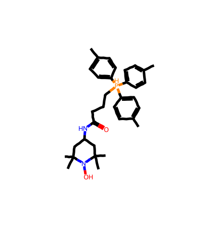 Cc1ccc([PH](CCCC(=O)NC2CC(C)(C)N(O)C(C)(C)C2)(c2ccc(C)cc2)c2ccc(C)cc2)cc1